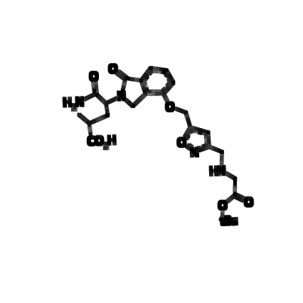 CC(CC(C(N)=O)N1Cc2c(OCc3cc(CNCC(=O)OC(C)(C)C)no3)cccc2C1=O)C(=O)O